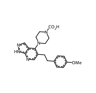 COc1ccc(CCc2cnc3[nH]ncc3c2N2CCN(C(=O)O)CC2)cc1